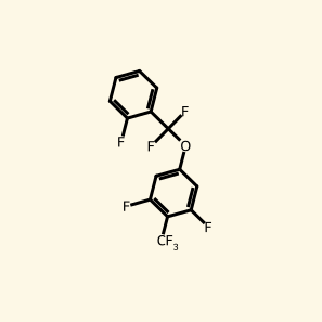 Fc1ccccc1C(F)(F)Oc1cc(F)c(C(F)(F)F)c(F)c1